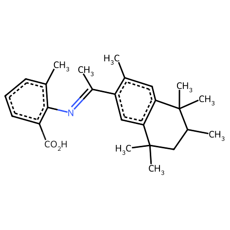 CC(=Nc1c(C)cccc1C(=O)O)c1cc2c(cc1C)C(C)(C)C(C)CC2(C)C